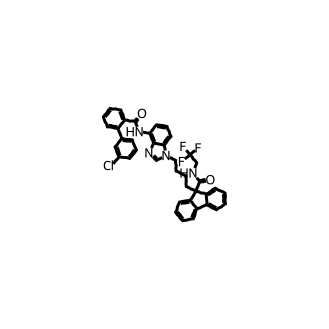 O=C(Nc1cccc2c1ncn2CCCCC1(C(=O)NCC(F)(F)F)c2ccccc2-c2ccccc21)c1ccccc1-c1cccc(Cl)c1